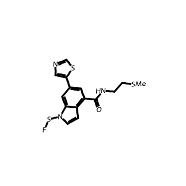 CSCCNC(=O)c1cc(-c2cncs2)cc2c1ccn2SF